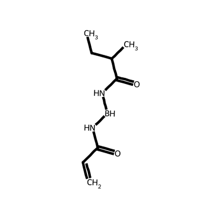 C=CC(=O)NBNC(=O)C(C)CC